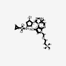 CC[C@@H]1C[C@H](NS(=O)(=O)C2CC2)C[C@@H]1C1=NNC2(C)C=Nc3c(c(C#N)cn3COCC[Si](C)(C)C)N12